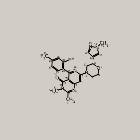 Cc1nc2cc(N3CCO[C@@H](c4cnn(C)c4)C3)nc(-c3ccc(C(F)(F)F)cc3F)c2c(=O)n1C